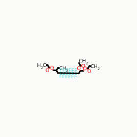 C=CC(=O)OCC(C=C)CC(F)(F)C(F)(F)C(F)(F)C(F)(F)C(F)(F)C(F)(F)CC(COC(=O)C=C)OC(=O)C=C